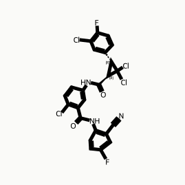 N#Cc1cc(F)ccc1NC(=O)c1cc(NC(=O)[C@H]2[C@H](c3ccc(F)c(Cl)c3)C2(Cl)Cl)ccc1Cl